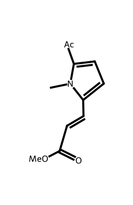 COC(=O)C=Cc1ccc(C(C)=O)n1C